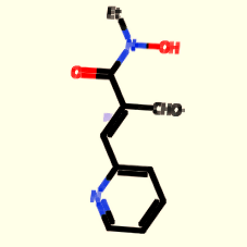 CCN(O)C(=O)/C([C]=O)=C/c1ccccn1